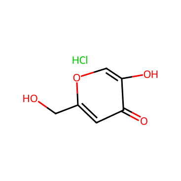 Cl.O=c1cc(CO)occ1O